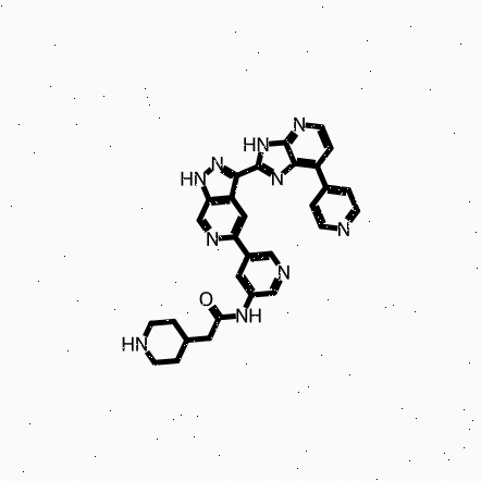 O=C(CC1CCNCC1)Nc1cncc(-c2cc3c(-c4nc5c(-c6ccncc6)ccnc5[nH]4)n[nH]c3cn2)c1